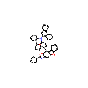 c1ccc(-c2nc3cc4oc5ccccc5c4c(-c4ccc(N(c5ccccc5-c5ccccc5)c5cc6ccccc6c6ccccc56)cc4)c3o2)cc1